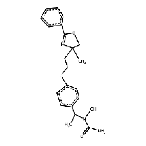 CC(c1ccc(OCCC2(C)COC(c3ccccc3)=N2)cc1)N(O)C(N)=O